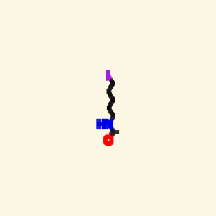 O=[C]NCCCCCI